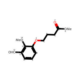 COC(=O)CCCOc1cccc(C=O)c1OC